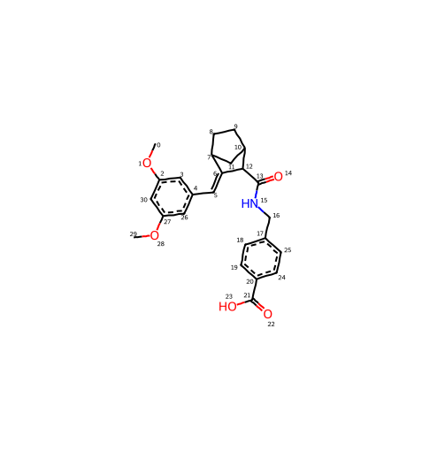 COc1cc(C=C2C3CCC(C3)C2C(=O)NCc2ccc(C(=O)O)cc2)cc(OC)c1